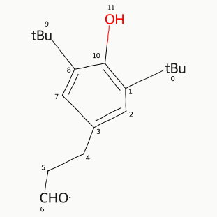 CC(C)(C)c1cc(CC[C]=O)cc(C(C)(C)C)c1O